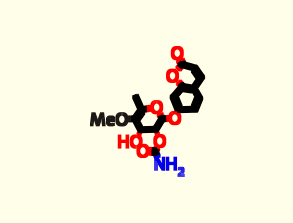 COC1=C(C)OC(Oc2ccc3ccc(=O)oc3c2)[C@@H](OC(N)=O)[C@H]1O